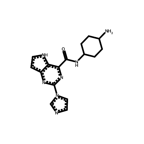 NC1CCC(NC(=O)c2nc(-n3ccnc3)nc3cc[nH]c23)CC1